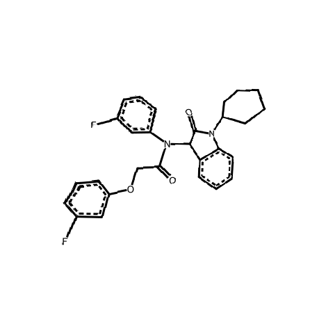 O=C1C(N(C(=O)COc2cccc(F)c2)c2cccc(F)c2)c2ccccc2N1C1CCCCC1